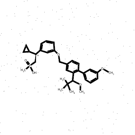 COc1cccc(-c2ccc(COc3cccc([C@@H](CP(C)(=O)O)C4CC4)c3)cc2C(OC)C(C)(C)C)c1